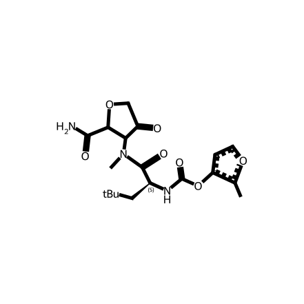 Cc1occc1OC(=O)N[C@@H](CC(C)(C)C)C(=O)N(C)C1C(=O)COC1C(N)=O